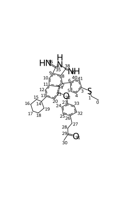 CCSc1ccc(-c2c3c(cc4cc(C5CCCCC5)cc(Oc5ccc(CCC(C)=O)cc5)c24)C(=N)NC3=N)cc1